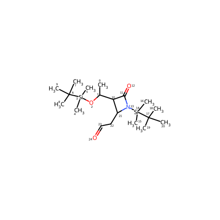 CC(O[Si](C)(C)C(C)(C)C)C1C(=O)N([Si](C)(C)C(C)(C)C)C1CC=O